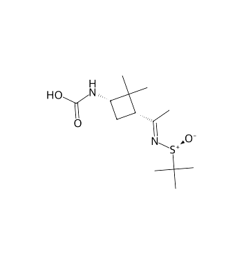 C/C(=N\[S@@+]([O-])C(C)(C)C)[C@@H]1C[C@H](NC(=O)O)C1(C)C